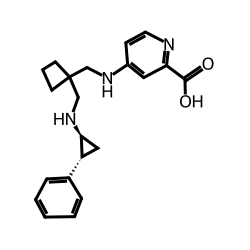 O=C(O)c1cc(NCC2(CN[C@H]3C[C@@H]3c3ccccc3)CCC2)ccn1